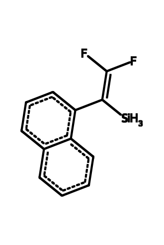 FC(F)=C([SiH3])c1cccc2ccccc12